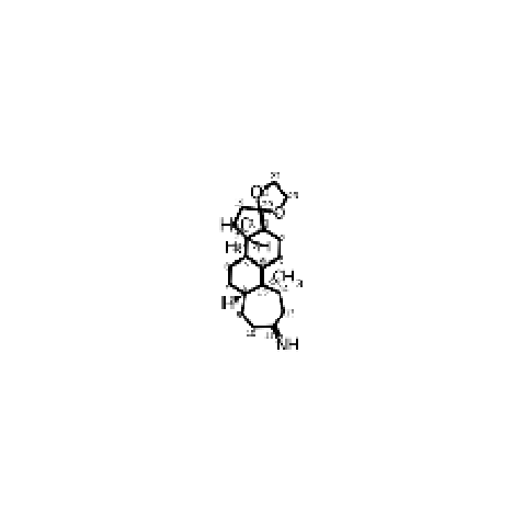 C[C@]12CCC3[C@@H](CC[C@H]4CCC(=N)CC[C@]34C)[C@@H]1CCC21OCCO1